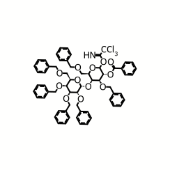 N=C(OC1O[C@H](COCc2ccccc2)[C@H](O[C@H]2O[C@H](COCc3ccccc3)[C@H](OCc3ccccc3)[C@H](OCc3ccccc3)[C@H]2OCc2ccccc2)[C@H](OCc2ccccc2)[C@H]1OC(=O)c1ccccc1)C(Cl)(Cl)Cl